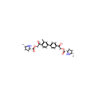 Cc1cc(-c2ccc(C(=O)COC(=O)[C@@H]3CC[C@H](C)N3)cc2)ccc1C(=O)COC(=O)[C@@H]1CC[C@H](C)N1